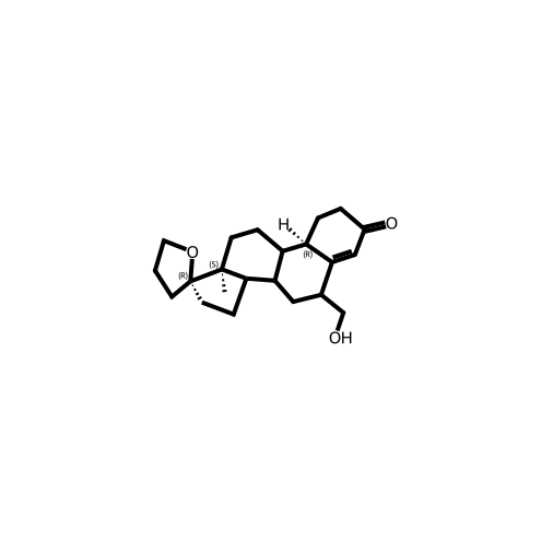 C[C@]12CCC3C(CC(CO)C4=CC(=O)CC[C@@H]43)C1CC[C@@]21CCCO1